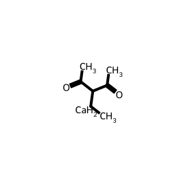 CCC(C(C)=O)C(C)=O.[CaH2]